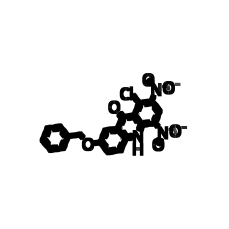 O=c1c2cc(OCc3ccccc3)ccc2[nH]c2c([N+](=O)[O-])cc([N+](=O)[O-])c(Cl)c12